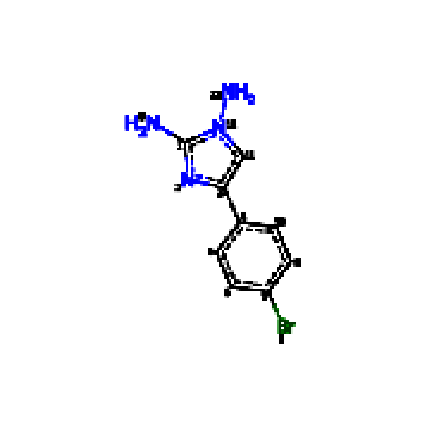 Nc1nc(-c2ccc(Br)cc2)cn1N